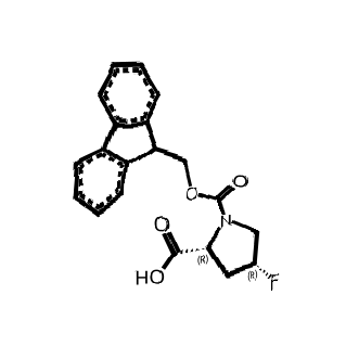 O=C(O)[C@H]1C[C@@H](F)CN1C(=O)OCC1c2ccccc2-c2ccccc21